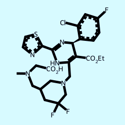 CCOC(=O)C1=C(CN2CC(CN(C)CC(=O)O)CC(F)(F)C2)NC(c2nccs2)=N[C@H]1c1ccc(F)cc1Cl